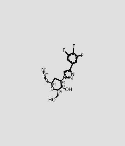 [N-]=[N+]=N[C@H]1C[C@@H](n2cc(-c3cc(F)c(F)c(F)c3)nn2)[C@@H](O)[C@@H](CO)O1